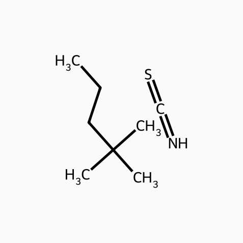 CCCC(C)(C)C.N=C=S